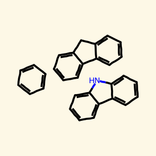 c1ccc2c(c1)Cc1ccccc1-2.c1ccc2c(c1)[nH]c1ccccc12.c1ccccc1